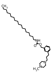 CCCCCCCCCCCCCCCCCCNC(=O)OCc1[c]ccc(CCCN2CCN(C)CC2)c1